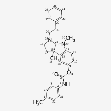 Cc1ccc(NC(=O)Oc2ccc3c(c2)C2(C)CCN(CCc4ccccc4)C2N3C)cc1